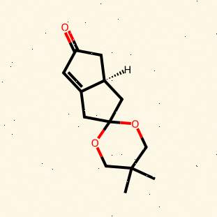 CC1(C)COC2(CC3=CC(=O)C[C@H]3C2)OC1